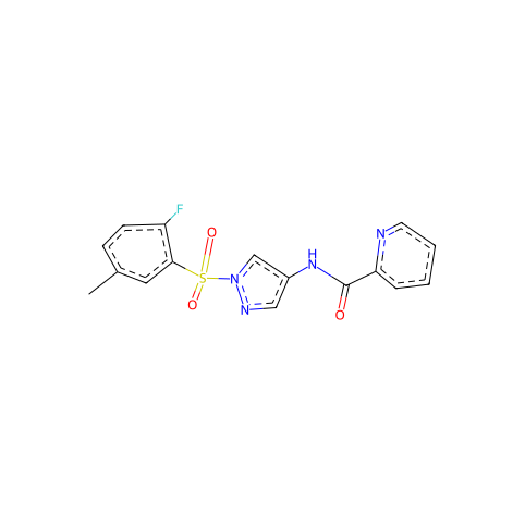 Cc1ccc(F)c(S(=O)(=O)n2cc(NC(=O)c3ccccn3)cn2)c1